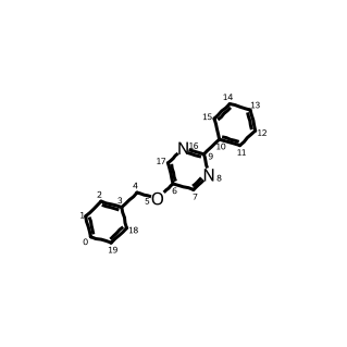 c1ccc(COc2cnc(-c3ccccc3)nc2)cc1